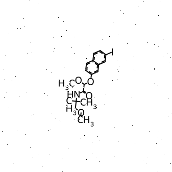 COCC(C)(C)NC(=O)C(OC)Oc1ccc2ccc(I)cc2c1